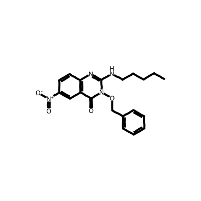 CCCCCNc1nc2ccc([N+](=O)[O-])cc2c(=O)n1OCc1ccccc1